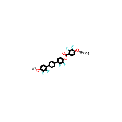 CCCCCOc1ccc(C(=O)Oc2ccc(C3=CCC(c4ccc(OCC)c(F)c4F)CC3)c(F)c2F)c(F)c1F